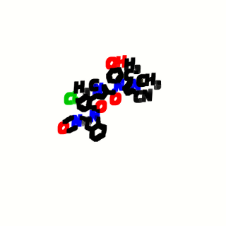 Cc1c(N(C(=O)c2cc(-c3cc(Cl)ccc3C(=O)N3Cc4ccccc4C[C@H]3CN3CCOCC3)n(C)c2)c2ccc(O)cc2)cc(C#N)n1C